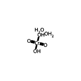 O.O.[O]=[Cr](=[O])([OH])[OH]